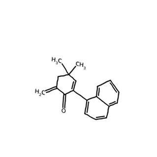 C=C1CC(C)(C)C=C(c2cccc3ccccc23)C1=O